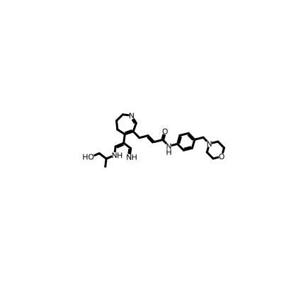 CC(CO)N/C=C(\C=N)C1=C(C/C=C/C(=O)Nc2ccc(CN3CCOCC3)cc2)C=NCCC1